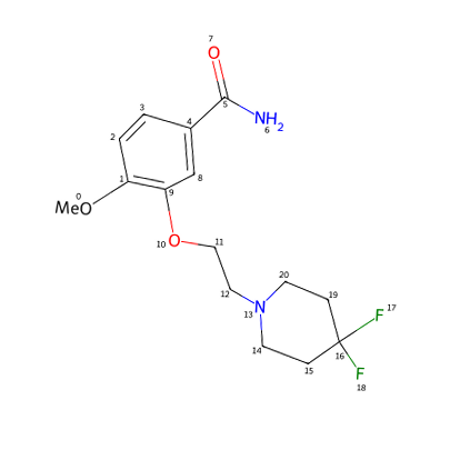 COc1ccc(C(N)=O)cc1OCCN1CCC(F)(F)CC1